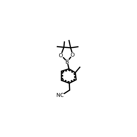 Cc1cc(CC#N)ccc1B1OC(C)(C)C(C)(C)O1